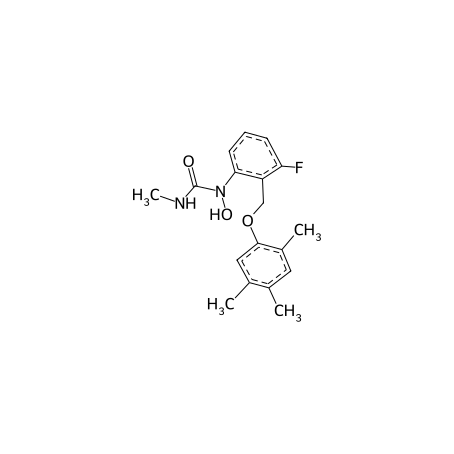 CNC(=O)N(O)c1cccc(F)c1COc1cc(C)c(C)cc1C